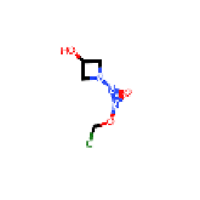 OC1CN(n2on2OCCl)C1